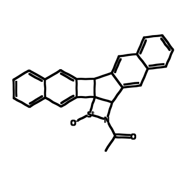 CC(=O)N1C2c3cc4ccccc4cc3C3c4cc5ccccc5cc4C32[S+]1[O-]